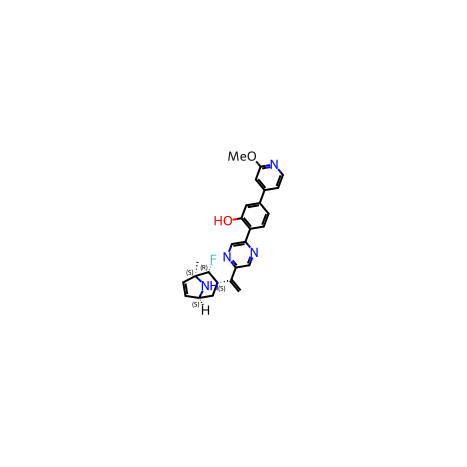 C=C(c1cnc(-c2ccc(-c3ccnc(OC)c3)cc2O)cn1)[C@@H]1C[C@H]2C=C[C@](C)(N2)[C@@H]1F